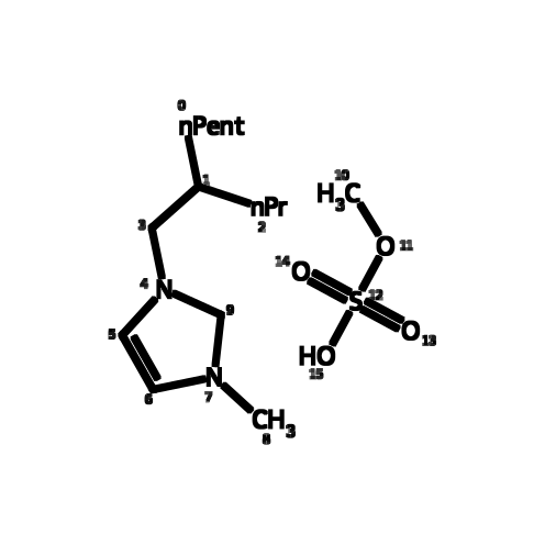 CCCCCC(CCC)CN1C=CN(C)C1.COS(=O)(=O)O